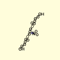 O=C(Oc1ccc(OCCOCCO)cc1)C1CCC(COc2ccc(OCC3CCC(C(=O)Oc4ccc(OCCOCCO)cc4)CC3)c(/C=N/N=C3c4ccccc4-c4ccccc43)c2)CC1